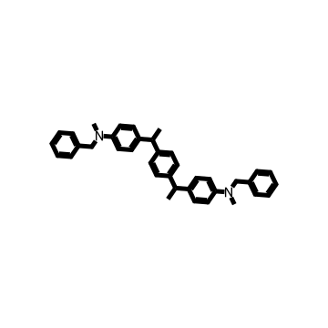 CC(c1ccc(C(C)c2ccc(N(C)Cc3ccccc3)cc2)cc1)c1ccc(N(C)Cc2ccccc2)cc1